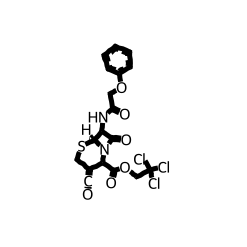 O=C=C1CS[C@@H]2C(NC(=O)COc3ccccc3)C(=O)N2C1C(=O)OCC(Cl)(Cl)Cl